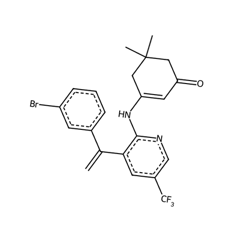 C=C(c1cccc(Br)c1)c1cc(C(F)(F)F)cnc1NC1=CC(=O)CC(C)(C)C1